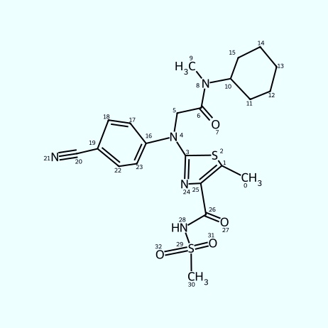 Cc1sc(N(CC(=O)N(C)C2CCCCC2)c2ccc(C#N)cc2)nc1C(=O)NS(C)(=O)=O